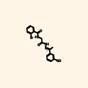 C/C(=N\NC(=O)CNC(=O)c1ccccc1Br)c1cccc(N=O)c1